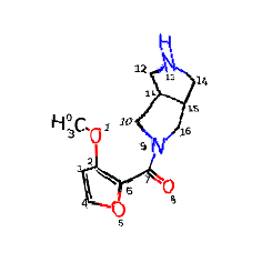 COc1ccoc1C(=O)N1CC2CNCC2C1